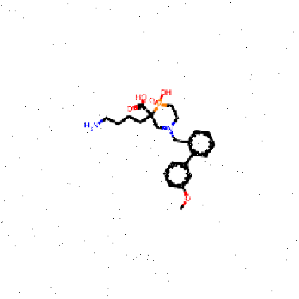 COc1cccc(-c2ccccc2CN2CCP(=O)(O)C(CCCCN)(C(=O)O)C2)c1